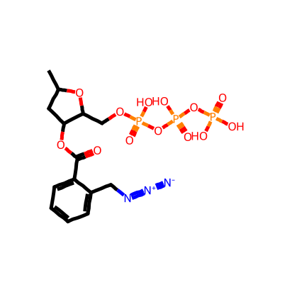 CC1CC(OC(=O)c2ccccc2CN=[N+]=[N-])C(COP(=O)(O)OP(=O)(O)OP(=O)(O)O)O1